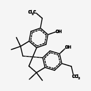 CC1(C)CC2(CC(C)(C)c3cc(CC(Cl)(Cl)Cl)c(O)cc32)c2cc(O)c(CC(Cl)(Cl)Cl)cc21